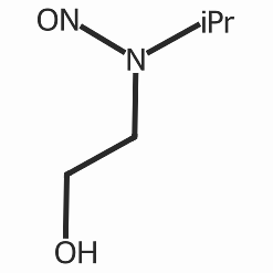 CC(C)N(CCO)N=O